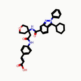 O=C(O)/C=C/c1ccc(NC(=O)CC2(NC(=O)c3ccc4c(C5CCCCC5)n(-c5ccccc5)nc4c3)CCOCC2)cc1